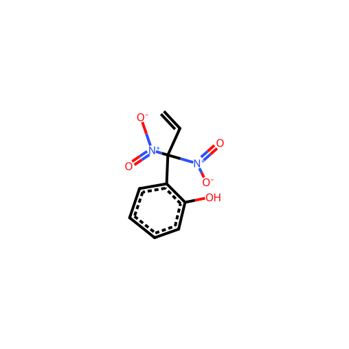 C=CC(c1ccccc1O)([N+](=O)[O-])[N+](=O)[O-]